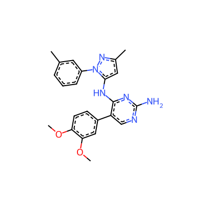 COc1ccc(-c2cnc(N)nc2Nc2cc(C)nn2-c2cccc(C)c2)cc1OC